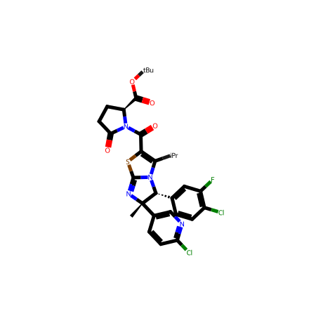 CC(C)C1=C(C(=O)N2C(=O)CC[C@H]2C(=O)OC(C)(C)C)SC2=N[C@@](C)(c3ccc(Cl)nc3)[C@@H](c3ccc(Cl)c(F)c3)N21